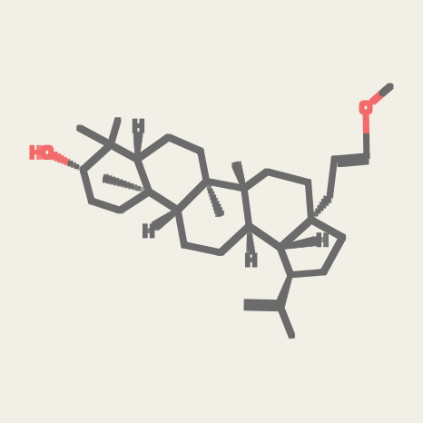 C=C(C)[C@@H]1CC[C@]2(C/C=C/OC)CC[C@]3(C)[C@H](CC[C@@H]4[C@@]5(C)CC[C@H](O)C(C)(C)[C@@H]5CC[C@]43C)[C@@H]12